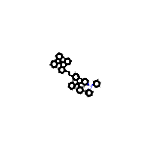 C(=C\c1cccc2c1-c1ccccc1C2(c1ccccc1)c1ccccc1)/c1ccc2c(c1)C(c1ccccc1)(c1ccccc1)c1cc(N(c3ccccc3)c3ccccc3)ccc1-2